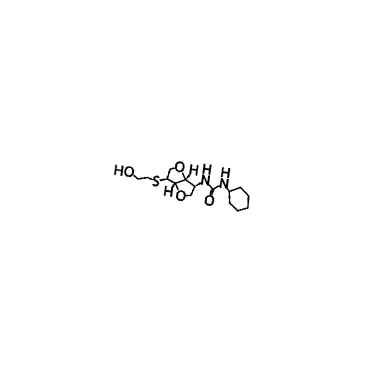 O=C(NC1CCCCC1)N[C@H]1CO[C@H]2[C@@H]1OC[C@@H]2SCCO